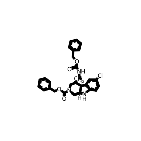 C=C1CN(C(=O)OCc2ccccc2)C[C@@H]2Nc3ccc(Cl)cc3[C@]12CCNC(=O)OCc1ccccc1